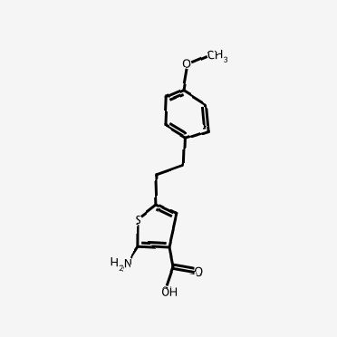 COc1ccc(CCc2cc(C(=O)O)c(N)s2)cc1